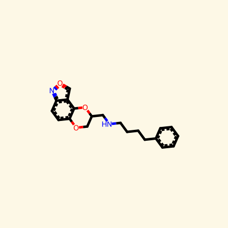 c1ccc(CCCCNCC2COc3ccc4nocc4c3O2)cc1